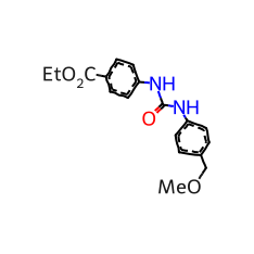 CCOC(=O)c1ccc(NC(=O)Nc2ccc(COC)cc2)cc1